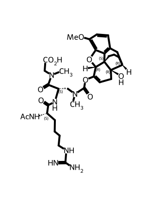 COc1ccc2c3c1O[C@H]1C(OC(=O)N(C)C[C@H](NC(=O)[C@H](CCCCNC(=N)N)NC(C)=O)C(=O)N(C)CC(=O)O)=CC[C@@]4(O)[C@H](CCC[C@]314)C2